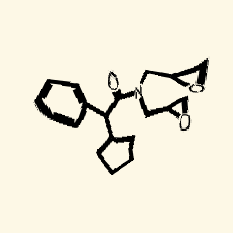 O=C(C(c1ccccc1)C1CCCC1)N(CC1CO1)CC1CO1